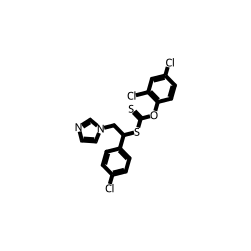 S=C(Oc1ccc(Cl)cc1Cl)SC(Cn1ccnc1)c1ccc(Cl)cc1